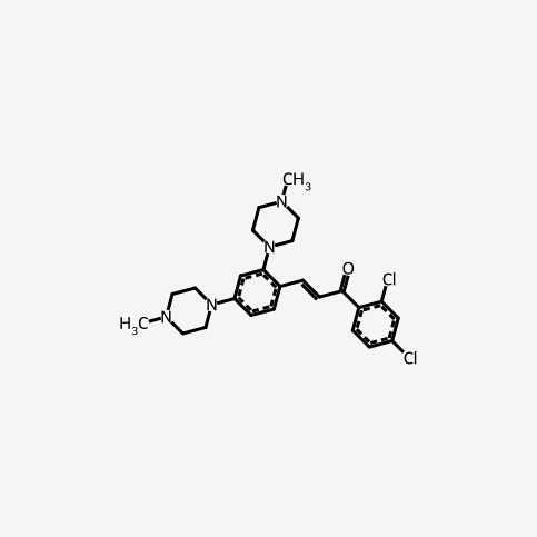 CN1CCN(c2ccc(C=CC(=O)c3ccc(Cl)cc3Cl)c(N3CCN(C)CC3)c2)CC1